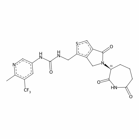 Cc1ncc(NC(=O)NCc2scc3c2CN([C@H]2CCCC(=O)NC2=O)C3=O)cc1C(F)(F)F